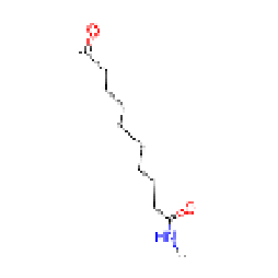 [CH2]NC(=O)CCCCCCCC[C]=O